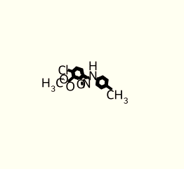 CCc1ccc(Nc2noc3c(C(=O)OC)c(Cl)ccc23)cc1